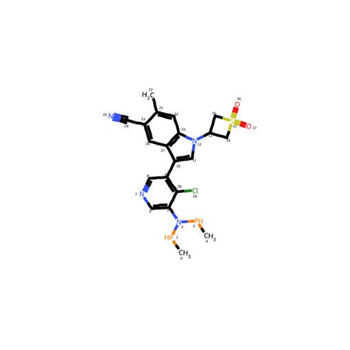 CPN(PC)c1cncc(-c2cn(C3CS(=O)(=O)C3)c3cc(C)c(C#N)cc23)c1Cl